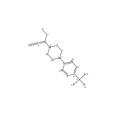 CCC(=C=O)N1CCN(c2ncc(C(F)(F)F)cn2)CC1